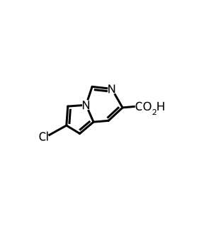 O=C(O)c1cc2cc(Cl)cn2cn1